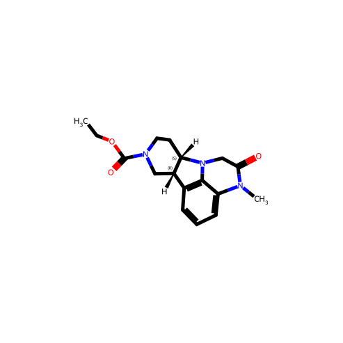 CCOC(=O)N1CC[C@H]2[C@@H](C1)c1cccc3c1N2CC(=O)N3C